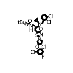 CC(C)(C)OC(=O)NC[C@H](Cc1cnc(N2CC[C@@H](Oc3c(Cl)cc(F)cc3Cl)C2)s1)C(=O)N(Cc1cccc(Cl)c1Cl)C1CC1